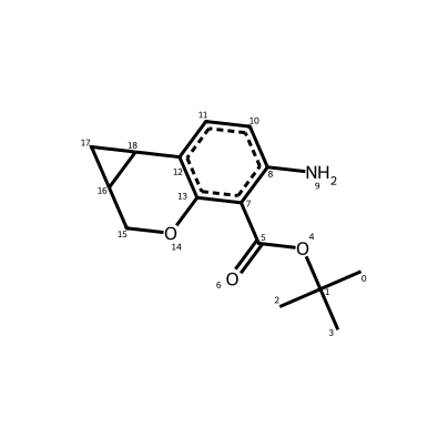 CC(C)(C)OC(=O)c1c(N)ccc2c1OCC1CC21